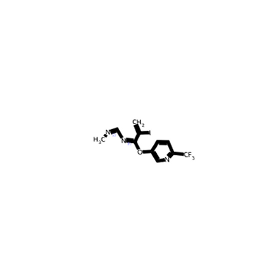 C=C(I)/C(=N\C=N/C)Oc1ccc(C(F)(F)F)nc1